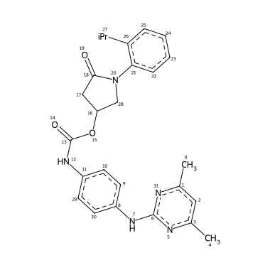 Cc1cc(C)nc(Nc2ccc(NC(=O)OC3CC(=O)N(c4ccccc4C(C)C)C3)cc2)n1